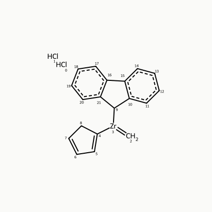 Cl.Cl.[CH2]=[Zr]([C]1=CC=CC1)[CH]1c2ccccc2-c2ccccc21